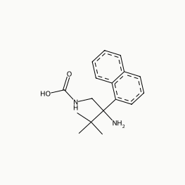 CC(C)(C)C(N)(CNC(=O)O)c1cccc2ccccc12